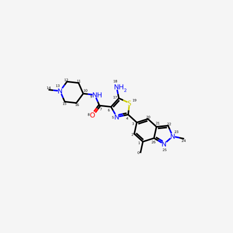 Cc1cc(-c2nc(C(=O)NC3CCN(C)CC3)c(N)s2)cc2cn(C)nc12